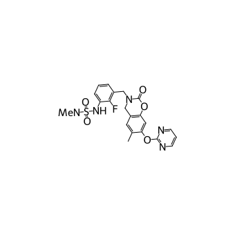 CNS(=O)(=O)Nc1cccc(CN2Cc3cc(C)c(Oc4ncccn4)cc3OC2=O)c1F